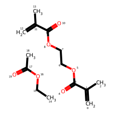 C=C(C)C(=O)OCCOC(=O)C(=C)C.CCOC(C)=O